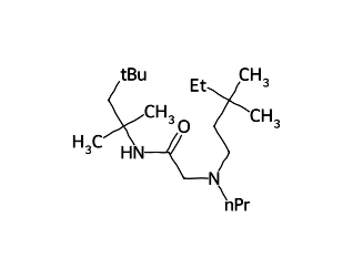 CCCN(CCC(C)(C)CC)CC(=O)NC(C)(C)CC(C)(C)C